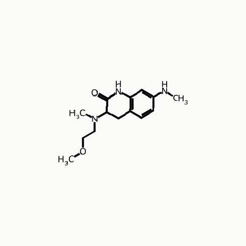 CNc1ccc2c(c1)NC(=O)C(N(C)CCOC)C2